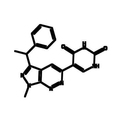 CC(c1ccccc1)c1nn(C)c2nnc(-c3c[nH]c(=O)[nH]c3=O)cc12